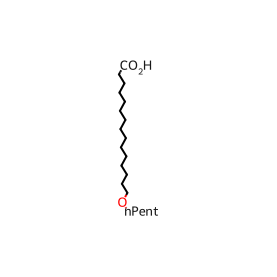 CCCCCOCCCCCCCCCCCCCCC(=O)O